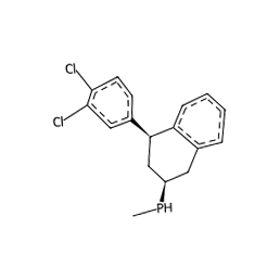 CP[C@@H]1Cc2ccccc2[C@H](c2ccc(Cl)c(Cl)c2)C1